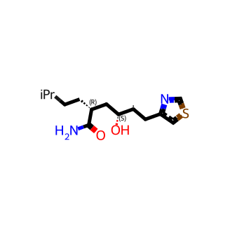 CC(C)CC[C@H](C[C@@H](O)[CH]Cc1cscn1)C(N)=O